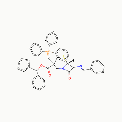 O=C1C(N=Cc2ccccc2)[C@H]2SCC(C=P(c3ccccc3)(c3ccccc3)c3ccccc3)(C(=O)OC(c3ccccc3)c3ccccc3)CN12